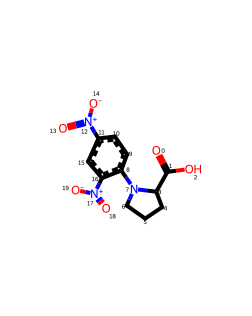 O=C(O)C1CCCN1c1ccc([N+](=O)[O-])cc1[N+](=O)[O-]